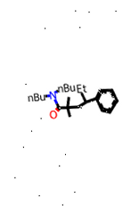 CCCCN(CCCC)C(=O)C(C)(C)CC(CC)c1ccccc1